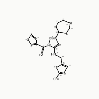 O=C(c1cscn1)n1nc(C2CCCNCC2)cc1NCc1ccc(Cl)s1